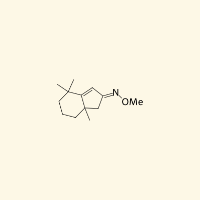 CON=C1C=C2C(C)(C)CCCC2(C)C1